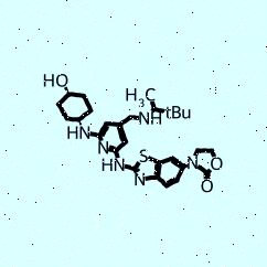 CC(NCc1cc(Nc2nc3ccc(N4CCOC4=O)cc3s2)nc(N[C@H]2CC[C@H](O)CC2)c1)C(C)(C)C